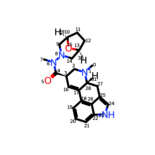 CN1C[C@H](C(=O)N(C)N2C[C@H]3CC[C@@H](C2)O3)C=C2c3cccc4[nH]cc(c34)C[C@H]21